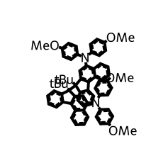 COc1ccc(N(c2ccc(OC)cc2)c2cc3c(c4ccccc24)-c2ccccc2C3(C(C)(C)C)C2(C(C)(C)C)c3ccccc3-c3c2cc(N(c2ccc(OC)cc2)c2ccc(OC)cc2)c2ccccc32)cc1